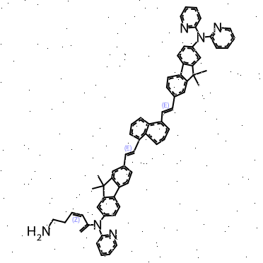 C=C(/C=C\CCN)N(c1ccc2c(c1)C(C)(C)c1cc(/C=C/c3cccc4c(/C=C/c5ccc6c(c5)C(C)(C)c5cc(N(c7ccccn7)c7ccccn7)ccc5-6)cccc34)ccc1-2)c1ccccn1